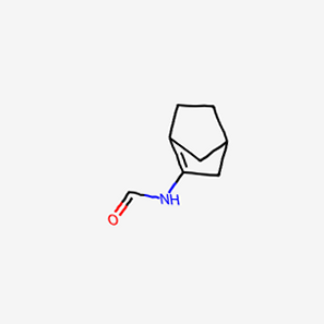 O=CNC1=C2CCC(C2)C1